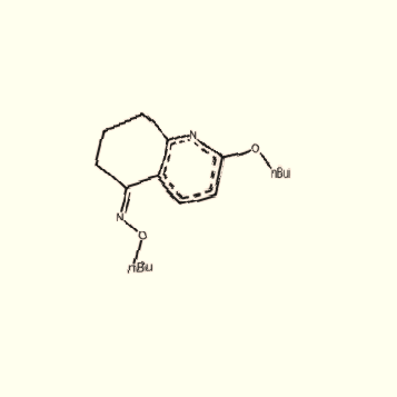 CCCCO/N=C1/CCCc2nc(OCCCC)ccc21